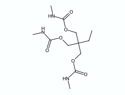 CCC(COC(=O)NC)(COC(=O)NC)COC(=O)NC